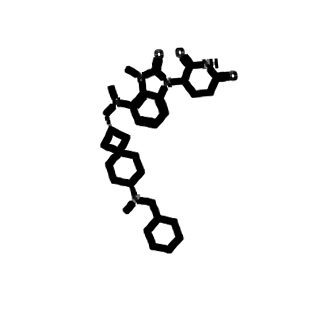 CN(C[C@H]1CC2(CC[C@H](N(C)CC3CCCCC3)CC2)C1)c1cccc2c1n(C)c(=O)n2C1CCC(=O)NC1=O